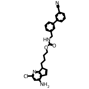 N#Cc1cccc(-c2cccc(CNC(=O)OCCCCC3C=Cc4c(N)cc(Cl)nc43)c2)c1